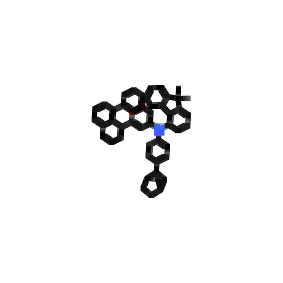 CC1(C)c2ccccc2-c2c(N(c3ccc(C4CC5CCC4C5)cc3)c3cccc(-c4cccc5cccc(-c6ccccc6)c45)c3)cccc21